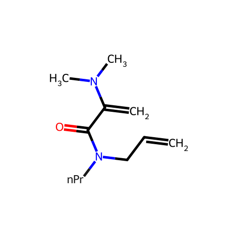 C=CCN(CCC)C(=O)C(=C)N(C)C